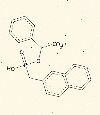 O=C(O)C(OP(=O)(O)Cc1ccc2ccccc2c1)c1ccccc1